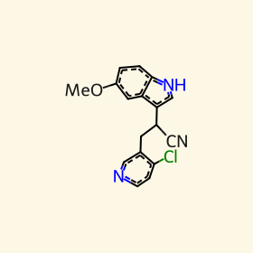 COc1ccc2[nH]cc(C(C#N)Cc3cnccc3Cl)c2c1